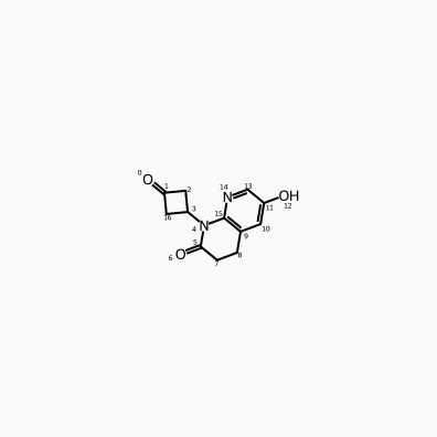 O=C1CC(N2C(=O)CCc3cc(O)cnc32)C1